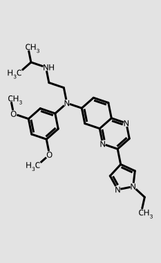 CCn1cc(-c2cnc3ccc(N(CCNC(C)C)c4cc(OC)cc(OC)c4)cc3n2)cn1